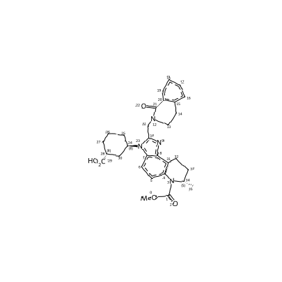 COC(=O)N1c2ccc3c(nc(CN4CCc5ccccc5C4=O)n3[C@@H]3CCC[C@@H](C(=O)O)C3)c2CC[C@@H]1C